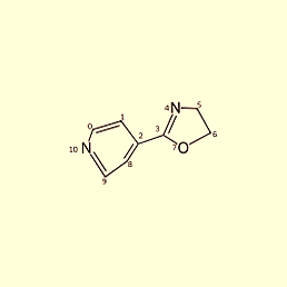 c1cc(C2=NCCO2)ccn1